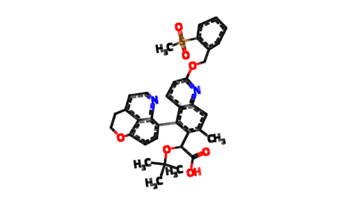 Cc1cc2nc(OCc3ccccc3S(C)(=O)=O)ccc2c(-c2ccc3c4c(ccnc24)CCO3)c1C(OC(C)(C)C)C(=O)O